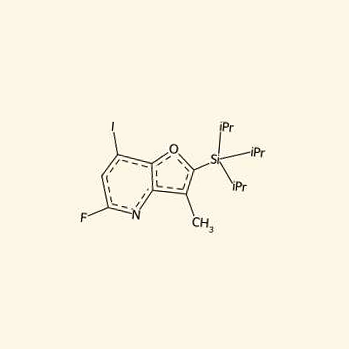 Cc1c([Si](C(C)C)(C(C)C)C(C)C)oc2c(I)cc(F)nc12